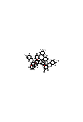 Cc1ccc(N(c2ccc(C)cc2)c2ccc3c(c2)C2(c4cc(N(c5ccc(C)cc5)c5ccc(C)cc5)ccc4-c4ccccc4-3)c3ccccc3-c3c2ccc2c3oc3ccccc32)cc1